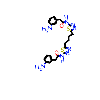 Nc1cccc(CC(=O)Nc2nnc(CCCCc3nnc(NC(=O)Cc4cccc(N)c4)s3)s2)c1